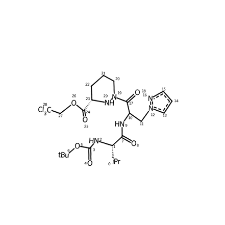 CC(C)[C@H](NC(=O)OC(C)(C)C)C(=O)NC(Cn1cccn1)C(=O)N1CCC[C@@H](C(=O)OCC(Cl)(Cl)Cl)N1